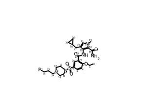 CCOc1ccc(S(=O)(=O)N2CCN(CCCF)CC2)cc1C(=O)Nc1c(CC2CC2)cn(C)c1C(N)=O